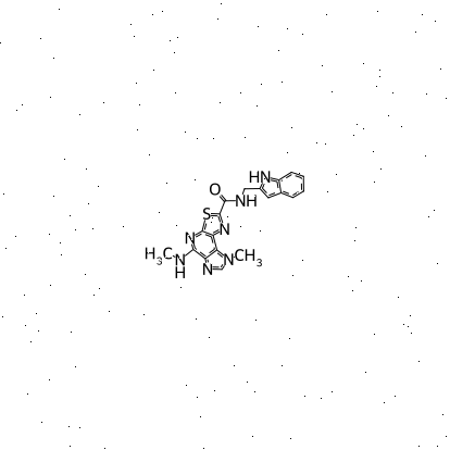 CNc1nc2sc(C(=O)NCc3cc4ccccc4[nH]3)nc2c2c1ncn2C